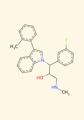 CNCC(O)C(c1cccc(F)c1)n1cc(-c2ccccc2C)c2ccccc21